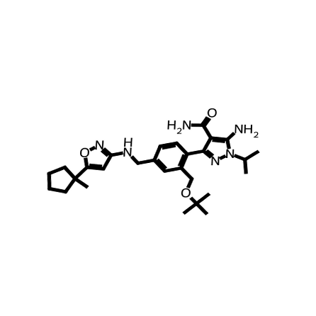 CC(C)n1nc(-c2ccc(CNc3cc(C4(C)CCCC4)on3)cc2COC(C)(C)C)c(C(N)=O)c1N